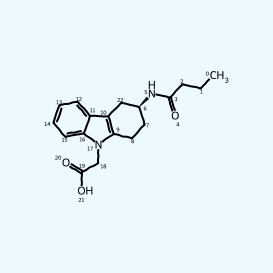 CCCC(=O)N[C@H]1CCc2c(c3ccccc3n2CC(=O)O)C1